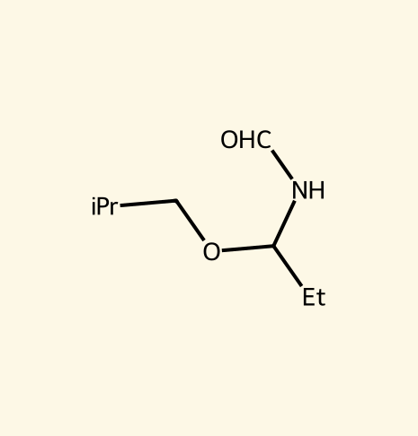 [CH2]CC(NC=O)OCC(C)C